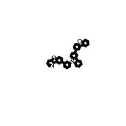 c1cc(-c2ccc3oc4cccnc4c3c2)cc(-n2c3ccccc3c3cc(-c4ccc5oc6ccccc6c5c4)ccc32)c1